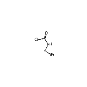 CC(C)SNC(=O)Cl